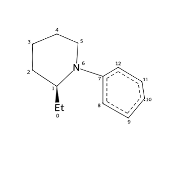 CC[C@H]1CCCCN1c1cc[c]cc1